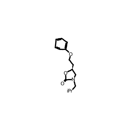 CC(C)CN1C[C@H](CCOc2ccccc2)OC1=O